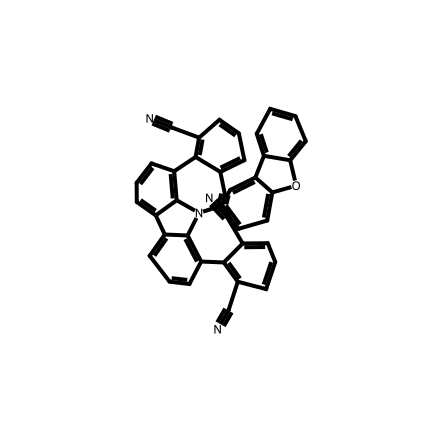 N#Cc1cccc(C#N)c1-c1cccc2c3cccc(-c4c(C#N)cccc4C#N)c3n(-c3ccc4oc5ccccc5c4c3)c12